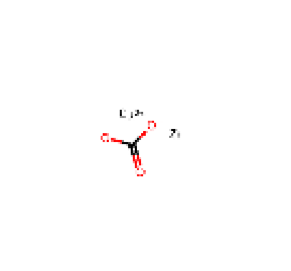 O=C([O-])[O-].[Cu+2].[Zr]